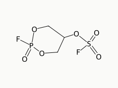 O=P1(F)OCC(OS(=O)(=O)F)CO1